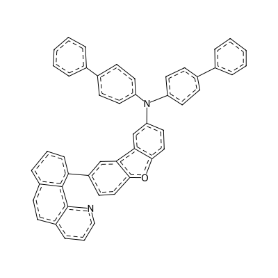 c1ccc(-c2ccc(N(c3ccc(-c4ccccc4)cc3)c3ccc4oc5ccc(-c6cccc7ccc8cccnc8c67)cc5c4c3)cc2)cc1